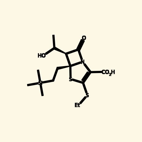 CCSC1=C(C(=O)O)N2C(=O)[C@H](C(C)O)[C@@]2(CC[Si](C)(C)C)S1